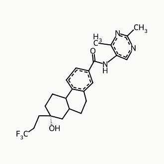 Cc1ncc(NC(=O)c2ccc3c(c2)CCC2C[C@@](O)(CCC(F)(F)F)CCC32)c(C)n1